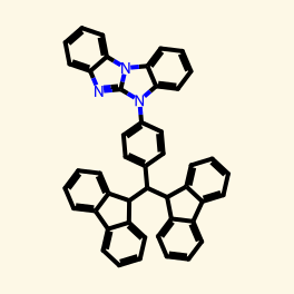 c1ccc2c(c1)-c1ccccc1C2C(c1ccc(-n2c3ccccc3n3c4ccccc4nc23)cc1)C1c2ccccc2-c2ccccc21